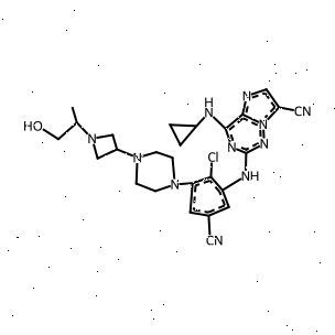 CC(CO)N1CC(N2CCN(c3cc(C#N)cc(Nc4nc(NC5CC5)c5ncc(C#N)n5n4)c3Cl)CC2)C1